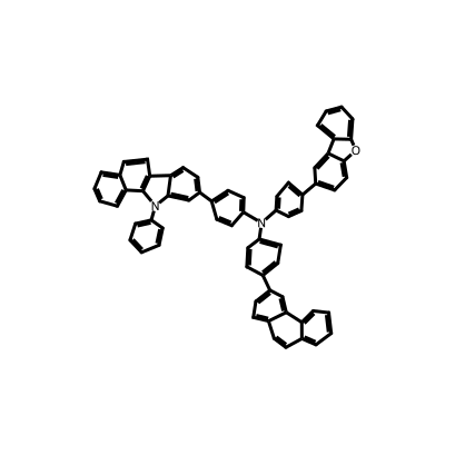 c1ccc(-n2c3cc(-c4ccc(N(c5ccc(-c6ccc7ccc8ccccc8c7c6)cc5)c5ccc(-c6ccc7oc8ccccc8c7c6)cc5)cc4)ccc3c3ccc4ccccc4c32)cc1